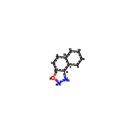 [c]1cc2onnc2c2ccccc12